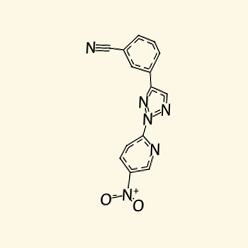 N#Cc1cccc(-c2cnn(-c3ccc([N+](=O)[O-])cn3)n2)c1